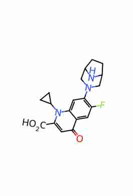 O=C(O)c1cc(=O)c2cc(F)c(N3CC4CCC(C3)N4)cc2n1C1CC1